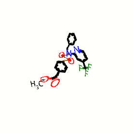 COC(=O)c1ccc(S(=O)(=O)N(Cc2ccccc2)c2cc(C(F)(F)F)ccn2)cc1